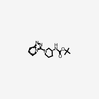 CC(C)(C)OC(=O)N[C@H]1CCCN(c2nnc3ccccn23)C1